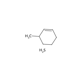 CC1C=CCCC1.S